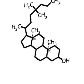 CCCC(C)(C)CCC(C)C1CCC2C3CCC4CC(O)CC[C@]4(C)C3CC[C@]12C